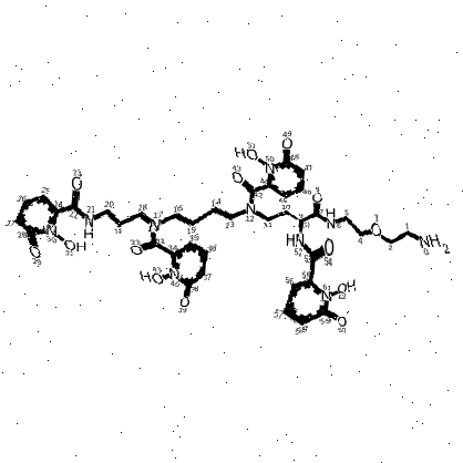 NCCOCCNC(=O)[C@H](CCN(CCCCN(CCCNC(=O)c1cccc(=O)n1O)C(=O)c1cccc(=O)n1O)C(=O)c1cccc(=O)n1O)NC(=O)c1cccc(=O)n1O